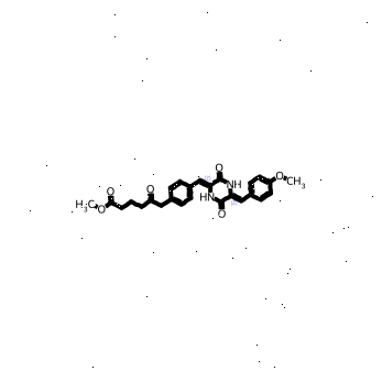 COC(=O)CCCC(=O)Cc1ccc(/C=c2\[nH]c(=O)/c(=C/c3ccc(OC)cc3)[nH]c2=O)cc1